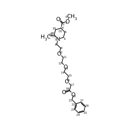 COC(=O)[C@H]1CCN(CCOCCOCCOCC(=O)OCc2ccccc2)[C@@H](C)C1